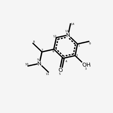 Cc1c(O)c(=O)c(C(C)N(C)C)cn1C